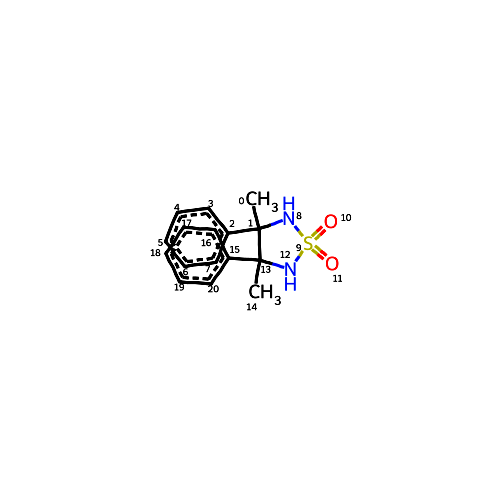 CC1(c2ccccc2)NS(=O)(=O)NC1(C)c1ccccc1